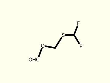 O=[C]OCSC(F)F